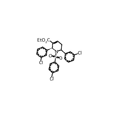 CCOC(=O)C1=CCC(c2cccc(Cl)c2)N(S(=O)(=O)c2ccc(Cl)cc2)[C@H]1c1cccc(Cl)c1